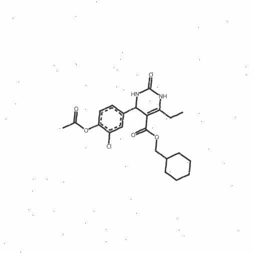 CCC1=C(C(=O)OCC2CCCCC2)C(c2ccc(OC(C)=O)c(Cl)c2)NC(=O)N1